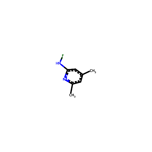 Cc1cc(C)nc(NF)c1